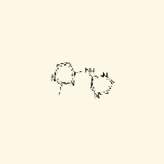 Cc1nccc(Nc2cnccn2)n1